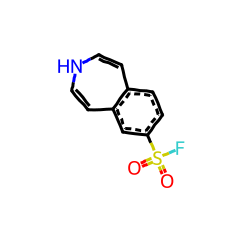 O=S(=O)(F)c1ccc2c(c1)C=CNC=C2